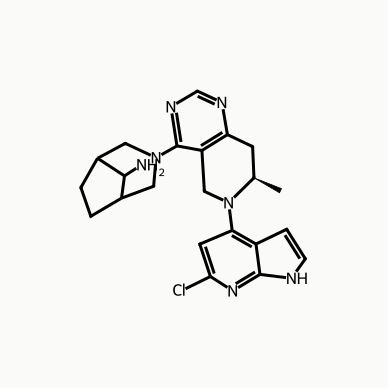 C[C@@H]1Cc2ncnc(N3CC4CCC(C3)C4N)c2CN1c1cc(Cl)nc2[nH]ccc12